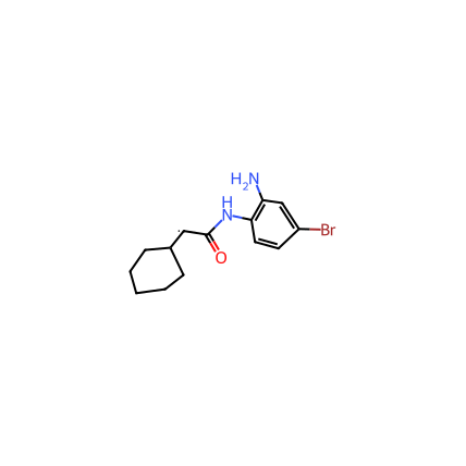 Nc1cc(Br)ccc1NC(=O)[CH]C1CCCCC1